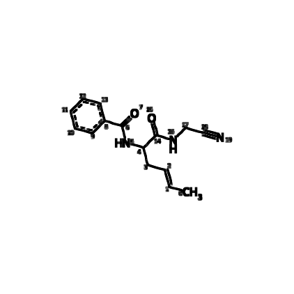 C/C=C/CC(NC(=O)c1ccccc1)C(=O)NCC#N